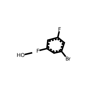 CO.Fc1cc(F)cc(Br)c1